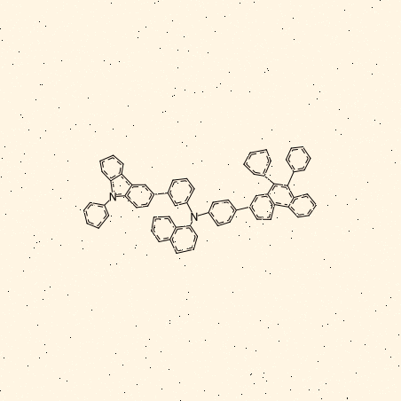 c1ccc(-c2c(-c3ccccc3)c3cc(-c4ccc(N(c5cccc(-c6ccc7c(c6)c6ccccc6n7-c6ccccc6)c5)c5cccc6ccccc56)cc4)ccc3c3ccccc23)cc1